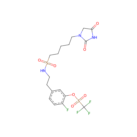 O=C1CN(CCCCCS(=O)(=O)NCCc2ccc(F)c(OS(=O)(=O)C(F)(F)F)c2)C(=O)N1